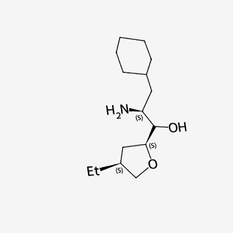 CC[C@@H]1CO[C@H](C(O)[C@@H](N)CC2CCCCC2)C1